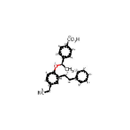 CC(Oc1ccc(CC#N)cc1CCc1ccccc1)c1ccc(C(=O)O)cc1